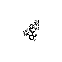 O=C(O)[C@H]1CC[C@H]2CC(c3c(-c4nnn[nH]4)ccc(Cl)c3F)=CC(=O)N21